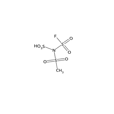 CS(=O)(=O)N(S(=O)(=O)O)S(=O)(=O)F